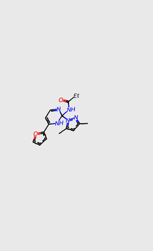 CCC(=O)NC1(n2nc(C)cc2C)N=CC=C(c2ccco2)N1